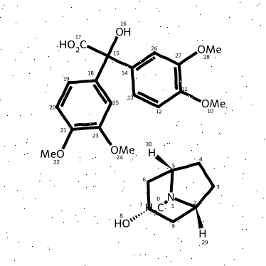 CN1[C@@H]2CC[C@H]1C[C@@H](O)C2.COc1ccc(C(O)(C(=O)O)c2ccc(OC)c(OC)c2)cc1OC